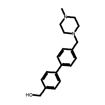 CN1CCN(Cc2ccc(-c3ccc(CO)cc3)cc2)CC1